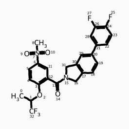 CC(Oc1ccc(S(C)(=O)=O)cc1C(=O)N1Cc2ccc(-c3ccc(F)c(F)c3)cc2C1)C(F)(F)F